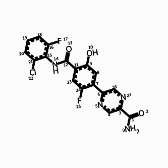 NC(=O)c1cnc(-c2cc(O)c(C(=O)Nc3c(F)cccc3Cl)cc2F)cn1